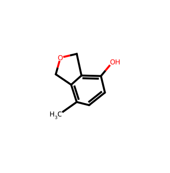 Cc1ccc(O)c2c1COC2